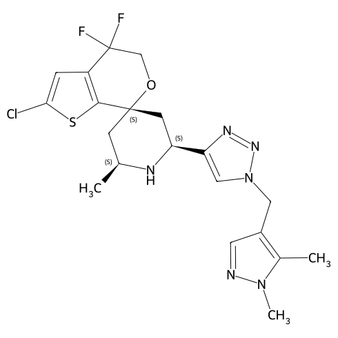 Cc1c(Cn2cc([C@@H]3C[C@]4(C[C@H](C)N3)OCC(F)(F)c3cc(Cl)sc34)nn2)cnn1C